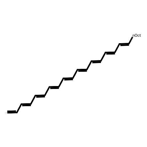 [CH]=CC=CC=CC=CC=CC=CC=CC=CC=CCCCCCCCC